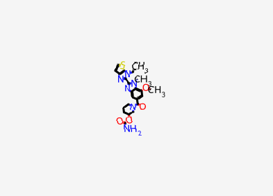 CCn1c(-c2nc3cc(C(=O)N4CCCC(OC(N)=O)C4)cc(OC)c3n2C)nc2ccsc21